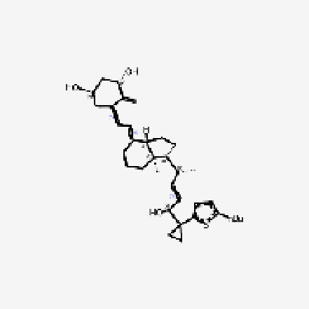 C=C1/C(=C\C=C2/CCC[C@]3(C)[C@@H]([C@H](C)/C=C/[C@H](O)C4(c5ccc(CCCC)s5)CC4)CC[C@@H]23)C[C@@H](O)C[C@@H]1O